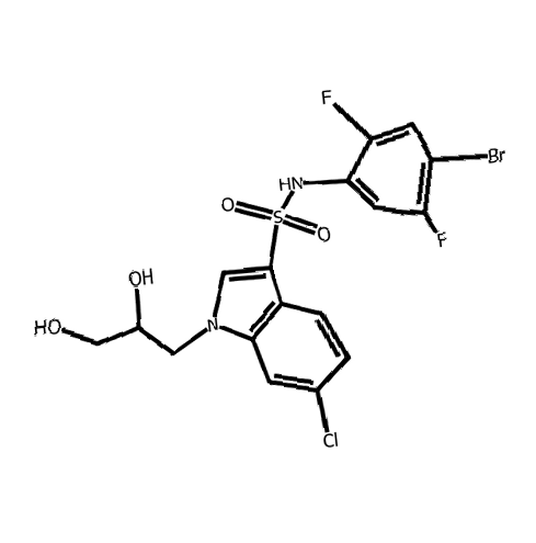 O=S(=O)(Nc1cc(F)c(Br)cc1F)c1cn(CC(O)CO)c2cc(Cl)ccc12